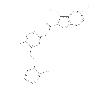 Cc1c(C(=O)Nc2ccc(F)c(CNc3cccnc3N)c2)oc2ccc(Cl)cc12